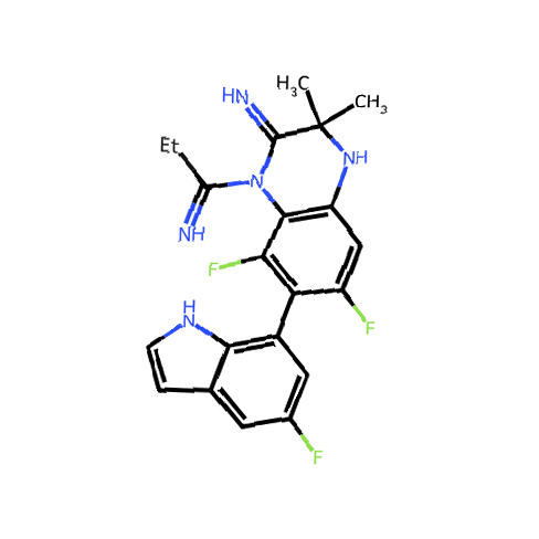 CCC(=N)N1C(=N)C(C)(C)Nc2cc(F)c(-c3cc(F)cc4cc[nH]c34)c(F)c21